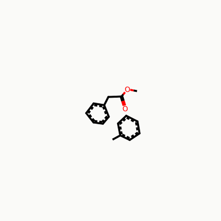 COC(=O)Cc1ccccc1.Cc1ccccc1